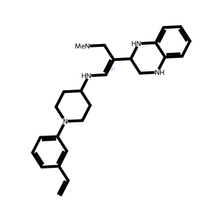 C=Cc1cccc(N2CCC(N/C=C(\CNC)C3CNc4ccccc4N3)CC2)c1